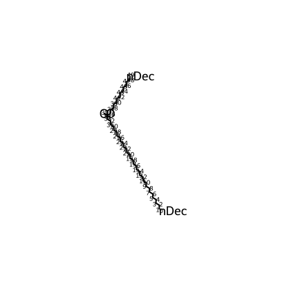 CCCCCCCCCCCCCCCCCCCCCCCCCCCCCCCCCCCCCCCCCCCC(=O)OCCCCCCCCCCCCCCCCCCCCCC